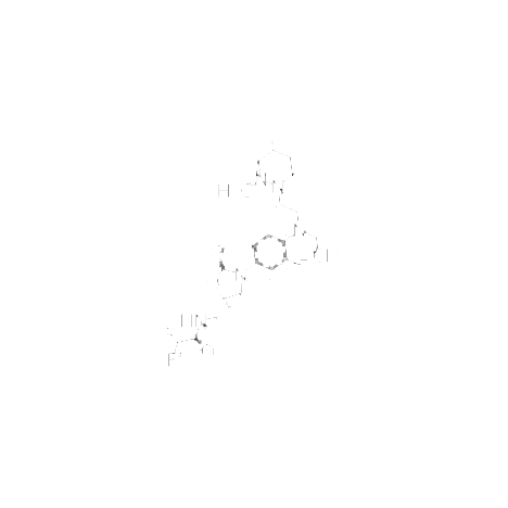 CCN(CCN1CCCCN1C)c1ccc(N2C[C@H](CNC(=O)C(F)F)OC2=O)cc1F